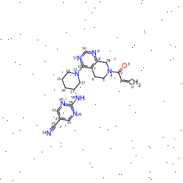 C=CC(=O)N1CCc2c(ncnc2N2CCC[C@@H](Nc3ncc(C#N)cn3)C2)C1